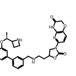 C[C@H](Oc1cccc(-c2cccc(CNCCC3CN(c4ccc5c(n4)NC(=O)CO5)C(=O)O3)c2)c1)C1CCN1